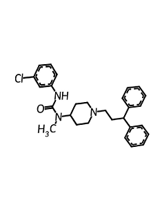 CN(C(=O)Nc1cccc(Cl)c1)C1CCN(CCC(c2ccccc2)c2ccccc2)CC1